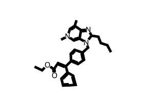 CCCCC1N=C2C(C)=CN(C)C=C2N1Cc1ccc(C(=CC(=O)OCC)c2ccccc2)cc1